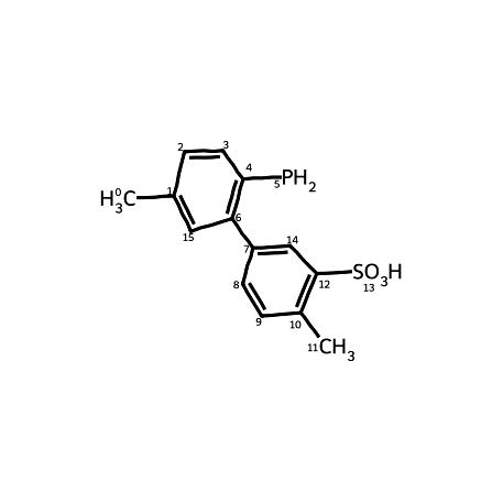 Cc1ccc(P)c(-c2ccc(C)c(S(=O)(=O)O)c2)c1